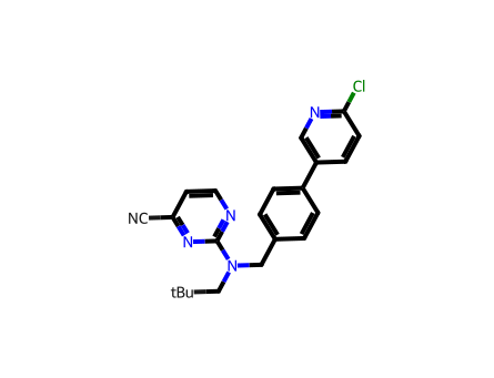 CC(C)(C)CN(Cc1ccc(-c2ccc(Cl)nc2)cc1)c1nccc(C#N)n1